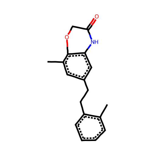 Cc1ccccc1CCc1cc(C)c2c(c1)NC(=O)CO2